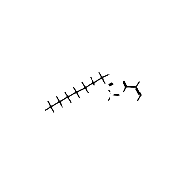 CCC=C(C)C(=O)ON(CC)S(=O)(=O)C(F)(F)C(F)(F)C(F)(F)C(F)(F)C(F)(F)C(F)(F)C(F)(F)C(F)(F)F